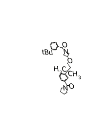 CC(C)(C)c1cccc(C(=O)N2CC(OCCC(C)(C)c3cccc(C(=O)N4CCCC4)c3)C2)c1